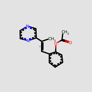 CC(=O)Oc1ccccc1/C=C(\C)c1cnccn1